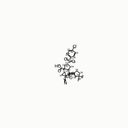 N#CC1(C(N)=O)CC1[C@]1(C(=O)O)C[C@H](S(=O)(=O)c2ccc(Cl)cn2)C[C@H]1C(=O)N1CCC(F)(F)C1